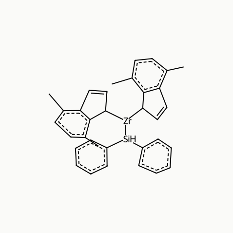 Cc1ccc(C)c2c1C=C[CH]2[Zr]([CH]1C=Cc2c(C)ccc(C)c21)[SiH](c1ccccc1)c1ccccc1